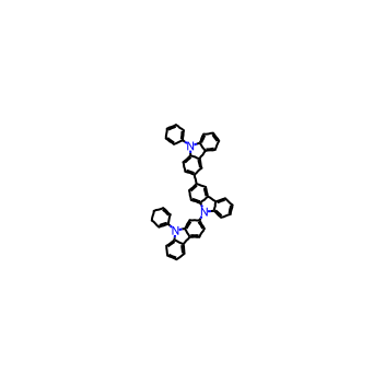 C1=CC(n2c3ccccc3c3ccc(-n4c5ccccc5c5cc(-c6ccc7c(c6)c6ccccc6n7-c6ccccc6)ccc54)cc32)=CCC1